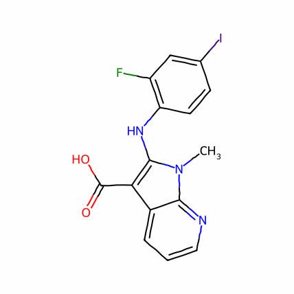 Cn1c(Nc2ccc(I)cc2F)c(C(=O)O)c2cccnc21